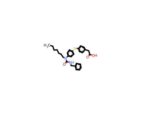 CCCCCCCN(C(=O)NCc1ccccc1)c1ccc(Sc2ccc(CC(=O)O)cc2)cc1